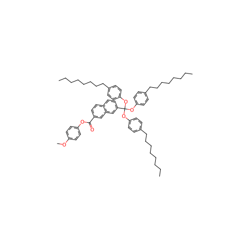 CCCCCCCCc1ccc(OC(Oc2ccc(CCCCCCCC)cc2)(Oc2ccc(CCCCCCCC)cc2)c2ccc3ccc(C(=O)Oc4ccc(OC)cc4)cc3c2)cc1